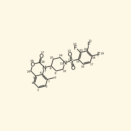 Cc1cccc2c1N(C1CCN(S(=O)(=O)c3ccc(F)c(F)c3F)CC1)C(=O)OC2